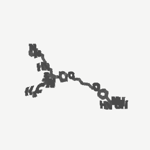 Cc1nc(-c2ccc(OCCCCCOc3ccc(C(=N)NO)cc3)cc2)c(CNCCCn2ccnc2)s1